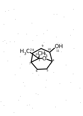 CC1(C)OC2CCC1CCC2O